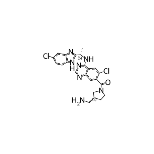 C[C@H](Nc1ncnc2cc(C(=O)N3CC[C@@H](CN)C3)c(Cl)cc12)c1nc2cc(Cl)ccc2[nH]1